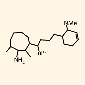 CCCC(CCCC1CCC=CC1NC)C1CCCCC(C)C(N)C1C